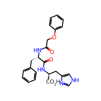 O=C(COc1ccccc1)N[C@@H](Cc1ccccc1)C(=O)N[C@@H](Cc1c[nH]cn1)C(=O)O